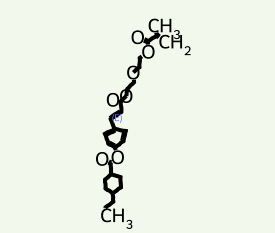 C=C(C)C(=O)OCCOCCOC(=O)/C=C/c1ccc(OC(=O)C2CCC(CCC)CC2)cc1